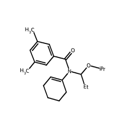 CCC(OC(C)C)N(C(=O)c1cc(C)cc(C)c1)C1=CCCCC1